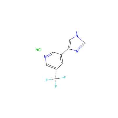 Cl.FC(F)(F)c1cncc(-c2c[nH]cn2)c1